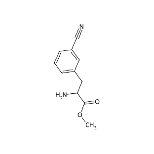 COC(=O)C(N)Cc1cccc(C#N)c1